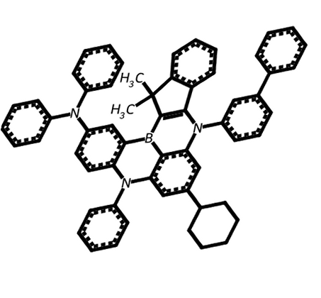 CC1(C)C2=C(c3ccccc31)N(c1cccc(-c3ccccc3)c1)c1cc(C3CCCCC3)cc3c1B2c1cc(N(c2ccccc2)c2ccccc2)ccc1N3c1ccccc1